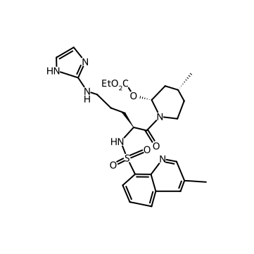 CCOC(=O)O[C@@H]1C[C@H](C)CCN1C(=O)[C@H](CCCNc1ncc[nH]1)NS(=O)(=O)c1cccc2cc(C)cnc12